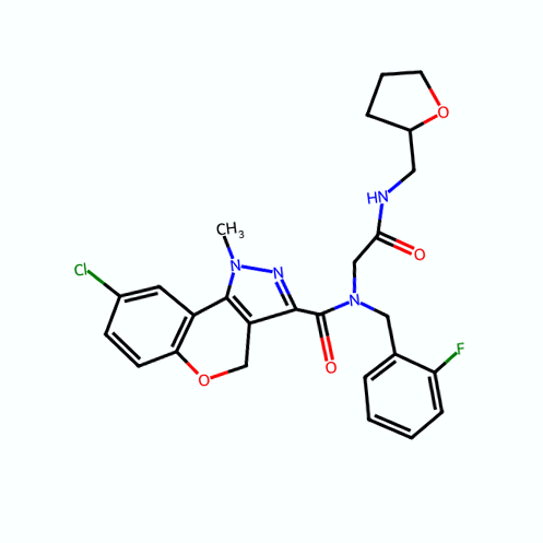 Cn1nc(C(=O)N(CC(=O)NCC2CCCO2)Cc2ccccc2F)c2c1-c1cc(Cl)ccc1OC2